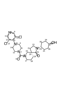 O=C(N1CCN(c2c(Cl)cncc2Cl)CC1)N1CCC[C@@]2(CCN([C@H]3CC[C@H](O)CC3)C2=O)C1